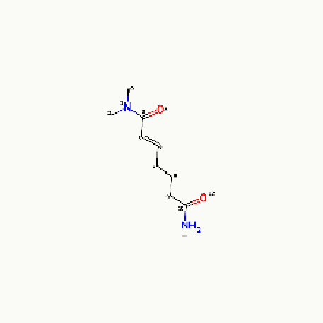 CN(C)C(=O)C=CCCCC(N)=O